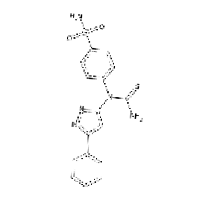 NC(=S)N(c1ccc(S(N)(=O)=O)cc1)c1cc(-c2ccccc2)[nH]n1